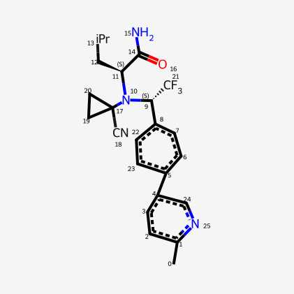 Cc1ccc(-c2ccc([C@H](N([C@@H](CC(C)C)C(N)=O)C3(C#N)CC3)C(F)(F)F)cc2)cn1